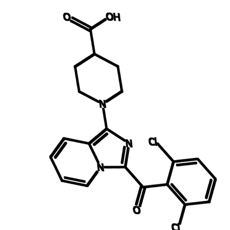 O=C(c1c(Cl)cccc1Cl)c1nc(N2CCC(C(=O)O)CC2)c2ccccn12